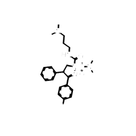 CN(C)CCCNC(=O)[N+]1(S(=O)(=O)N(C)C)CC(c2ccccc2)C(c2ccc(Cl)cc2)=N1